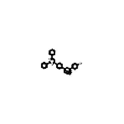 Brc1ccc(C23CC4CC2CC(c2ccc(-c5cc(-c6ccccc6)nc(-c6ccccc6)n5)cc2)(C4)C3)cc1